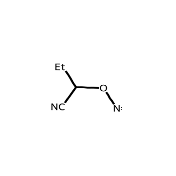 CCC(C#N)O[N]